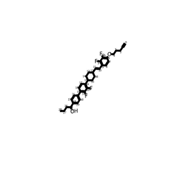 C#CCCCOc1ccc(/C=C/C2CCC(c3ccc(-c4ccc(C(O)CCC)cc4)c(F)c3F)CC2)c(F)c1F